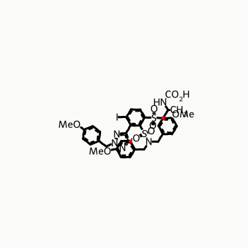 COc1ccc(CN(Cc2ccc(OC)cc2)S(=O)(=O)c2c(S(=O)(=O)CC(C)NC(=O)O)ccc(I)c2-c2nnn(Cc3ccc(OC)cc3)n2)cc1